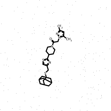 Cc1cc(C(F)(F)F)nn1CC(=O)N1CCC(c2nc(CSC34CC5CC(CC(C5)C3)C4)cs2)CC1